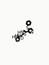 O=C(N[C@@H]1C2CCC1NC2)c1ncc(-c2cnccc2Sc2ccccc2)s1